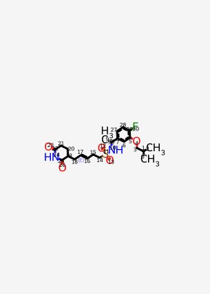 CC(C)COc1cc([C@@H](C)NS(=O)(=O)CC/C=C/CC2CCC(=O)NC2=O)ccc1F